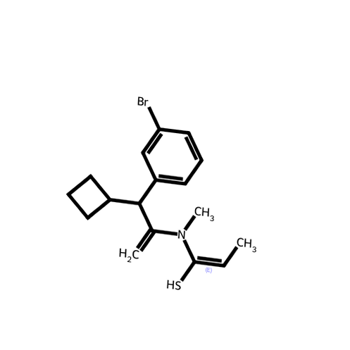 C=C(C(c1cccc(Br)c1)C1CCC1)N(C)/C(S)=C\C